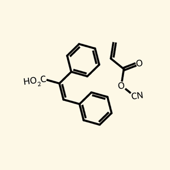 C=CC(=O)OC#N.O=C(O)C(=Cc1ccccc1)c1ccccc1